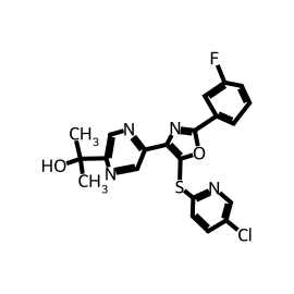 CC(C)(O)c1cnc(-c2nc(-c3cccc(F)c3)oc2Sc2ccc(Cl)cn2)cn1